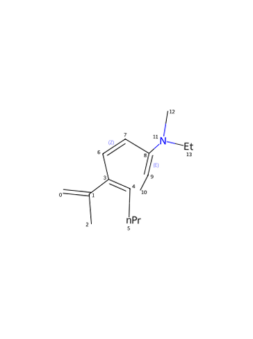 C=C(C)C(=CCCC)/C=C\C(=C/C)N(C)CC